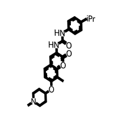 Cc1c(OC2CCN(C)CC2)ccc2cc(NC(=O)Nc3ccc(C(C)C)cc3)c(=O)oc12